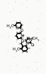 Cc1cccc(Oc2cccc(OCc3c(C)cccc3-n3nnn(C)c3=O)n2)n1